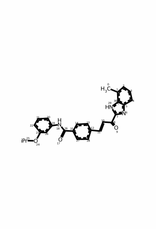 Cc1cccc2nc(C(=O)C=Cc3ccc(C(=O)Nc4cccc(OC(C)C)c4)cc3)[nH]c12